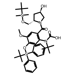 COc1cc(C(=O)N2C[C@H](O)C[C@H]2CO[Si](C)(C)C(C)(C)C)c(N(C(=O)O)C(C)(C)C)cc1O[Si](c1ccccc1)(c1ccccc1)C(C)(C)C